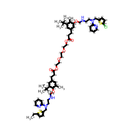 CCc1ccc(CN(CCNCOc2c(C)cc(CCC(=O)OCCOCCOCCOC(=O)CCc3cc(OCNCCN(Cc4ccc(Cl)s4)c4ccccn4)c(C)c(C(C)(C)C)c3)cc2C(C)(C)C)c2ccccn2)s1